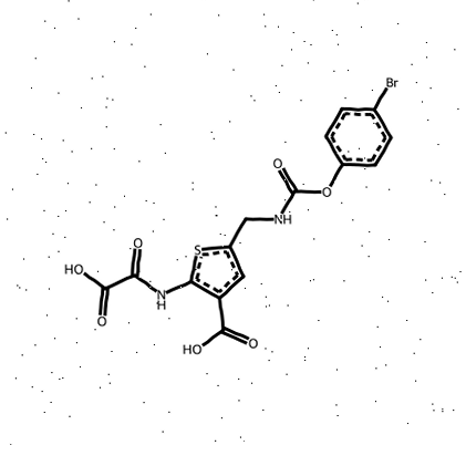 O=C(NCc1cc(C(=O)O)c(NC(=O)C(=O)O)s1)Oc1ccc(Br)cc1